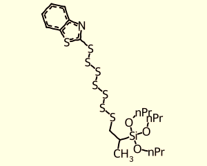 CCCO[Si](OCCC)(OCCC)C(C)CSSSSSSSc1nc2ccccc2s1